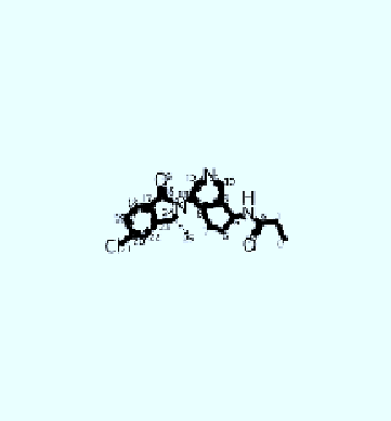 CCC(=O)NC1CCc2c1cncc2N1C(=O)c2ccc(Cl)cc2[C@H]1C